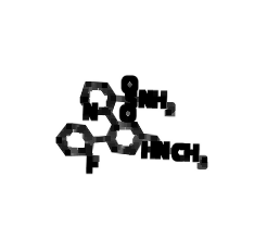 CNCc1ccc(-c2ccccc2F)c(-c2ncccc2S(N)(=O)=O)c1